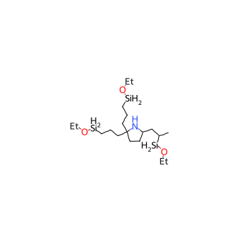 CCO[SiH2]CCCC1(CCC[SiH2]OCC)CCC(CC(C)[SiH2]OCC)N1